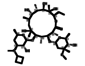 CC[C@H]1OC(=O)[C@H](C)[C@@H](O[C@H]2C[C@@](C)(OC)[C@@H](O)[C@H](C)O2)[C@H](C)[C@@H](O[C@@H]2O[C@H](C)C[C@H](N(C)C3CCC3)[C@H]2O)[C@](C)(O)C[C@@H](C)[C@H](O)[C@H](C)[C@@H](O)[C@]1(C)O